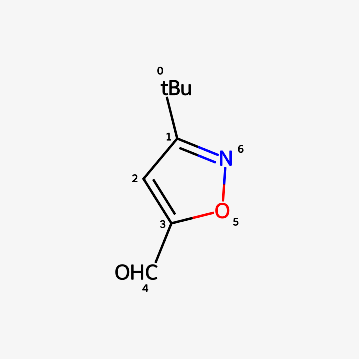 CC(C)(C)c1cc(C=O)on1